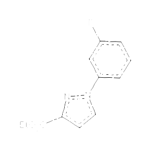 CCOC(=O)c1ccn(-c2cccc(F)c2)n1